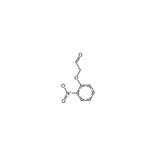 O=[C]COc1ccccc1[N+](=O)[O-]